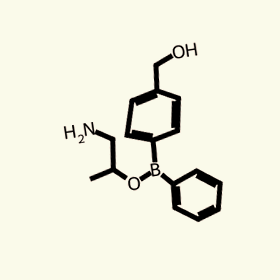 CC(CN)OB(c1ccccc1)c1ccc(CO)cc1